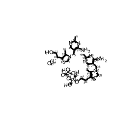 Cc1ncc(C[n+]2csc(CCO)c2C)c(N)n1.Cc1ncc(C[n+]2csc(CCOP(=O)(O)OP(=O)(O)O)c2C)c(N)n1.[Cl-].[Cl-]